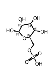 O=S(=O)(O)OC[C@H]1O[C@@H](O)[C@H](O)[C@@H](O)[C@H]1O